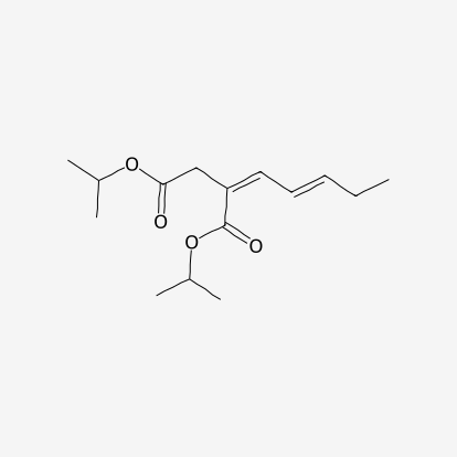 CCC=CC=C(CC(=O)OC(C)C)C(=O)OC(C)C